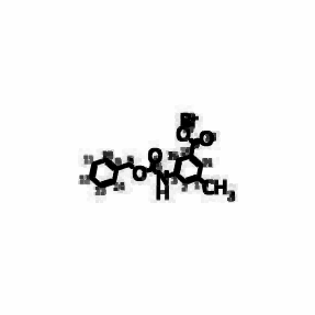 Cc1cc(NC(=O)OCc2ccccc2)cc(C(=O)OBr)c1